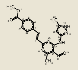 COC(=O)c1ccc(/C=C/c2nc(C)c(N=O)c(Nc3cc(C)[nH]n3)n2)cc1